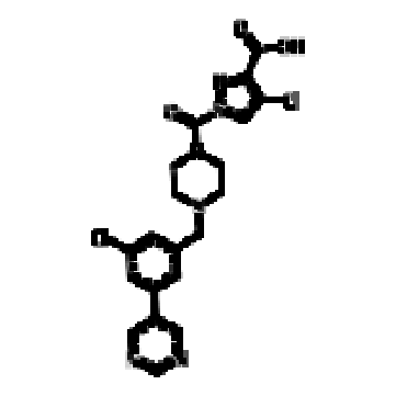 O=C(O)c1nn(C(=O)N2CCN(Cc3cc(Cl)cc(-c4cncnc4)c3)CC2)cc1Cl